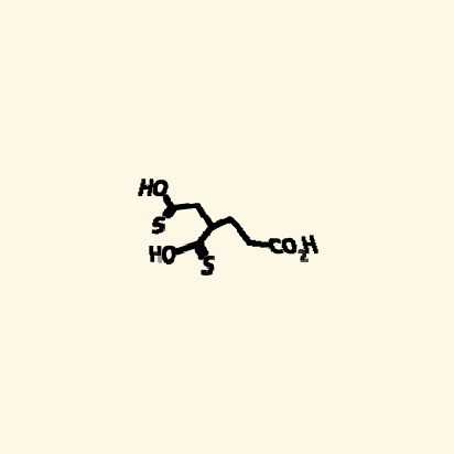 O=C(O)CCC(CC(O)=S)C(O)=S